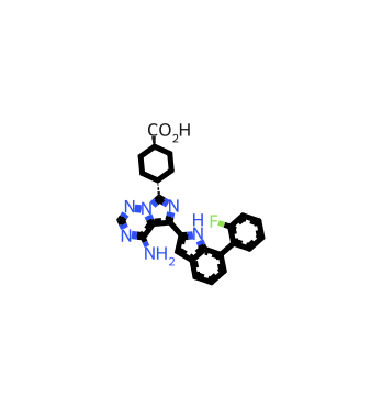 Nc1ncnn2c1c(-c1cc3cccc(-c4ccccc4F)c3[nH]1)nc2[C@H]1CC[C@H](C(=O)O)CC1